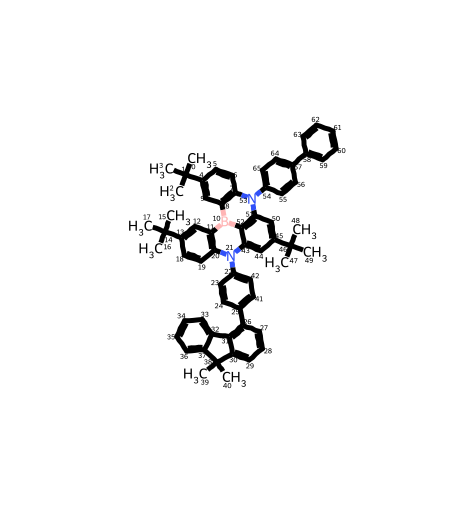 CC(C)(C)c1ccc2c(c1)B1c3cc(C(C)(C)C)ccc3N(c3ccc(-c4cccc5c4-c4ccccc4C5(C)C)cc3)c3cc(C(C)(C)C)cc(c31)N2c1ccc(-c2ccccc2)cc1